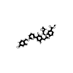 COC(=O)c1ccc2nc(Cc3cc(F)c(-c4cccc(OCc5ccc(Cl)cc5F)n4)cc3F)n(CC3CCO3)c2c1